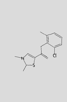 C=C(Cc1c(C)cccc1Cl)C1=CN(C)C(C)S1